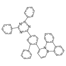 C1=CB2c3ccccc3-c3ccccc3N2C(c2ccc(-c3nc(-c4ccccc4)nc(-c4ccccc4)n3)cc2-c2ccccc2)=C1